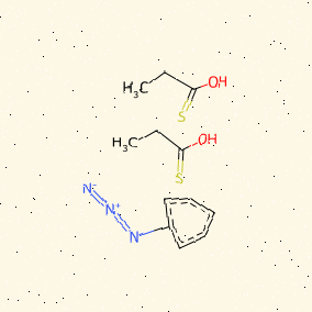 CCC(O)=S.CCC(O)=S.[N-]=[N+]=Nc1ccccc1